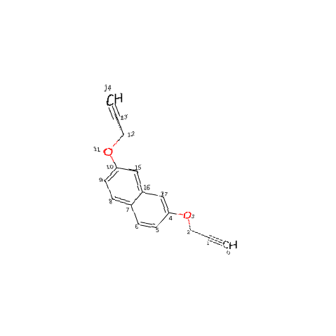 C#CCOc1ccc2ccc(OCC#C)cc2c1